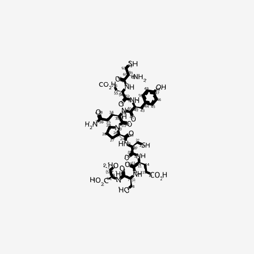 C[C@H](O)[C@@H](NC(=O)[C@H](CO)NC(=O)[C@H](CCC(=O)O)NC(=O)[C@H](CS)NC(=O)[C@H]1CCCN1C(=O)[C@@H](CCC(N)=O)NC(=O)[C@H](Cc1ccc(O)cc1)NC(=O)[C@H](CC(=O)O)NC(=O)[C@@H](N)CS)C(=O)O